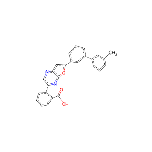 Cc1cccc(-c2cccc(-c3cc4ncc(-c5ccccc5C(=O)O)nc4o3)c2)c1